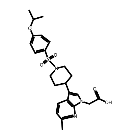 Cc1ccc2c(C3CCN(S(=O)(=O)c4ccc(OC(C)C)cc4)CC3)cn(CC(=O)O)c2n1